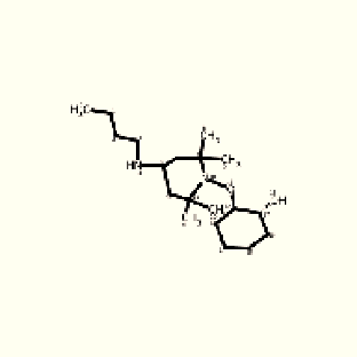 CCCCNC1CC(C)(C)N(O[C@@H]2CCCC[C@H]2O)C(C)(C)C1